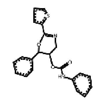 O=C(Nc1ccccc1)OC1CN=C(c2cccs2)OC1c1ccccc1